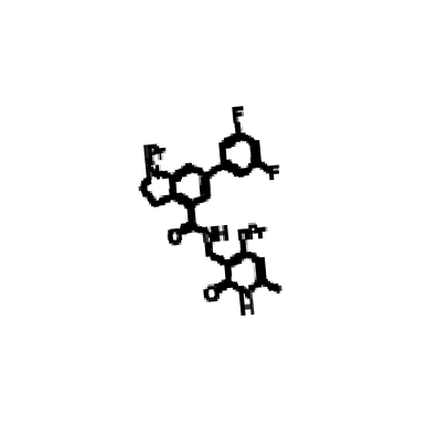 CCCc1cc(C)[nH]c(=O)c1CNC(=O)c1cc(-c2cc(F)cc(F)c2)cc2c1CCN2C(C)C